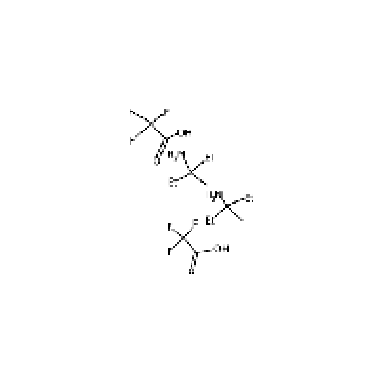 CCC(C)(N)CC.CCC(C)(N)CC.O=C(O)C(F)(F)F.O=C(O)C(F)(F)F